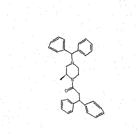 C[C@H]1CN(C(c2ccccc2)c2ccccc2)CCN1C(=O)CC(c1ccccc1)c1ccccc1